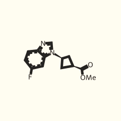 COC(=O)[C@H]1C[C@@H](n2cnc3ccc(F)cc32)C1